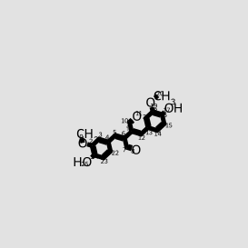 COc1cc(C=C(C=O)C(C=O)=Cc2ccc(O)c(OC)c2)ccc1O